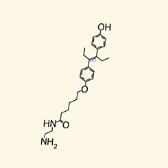 CC/C(=C(/CC)c1ccc(OCCCCCC(=O)NCCN)cc1)c1ccc(O)cc1